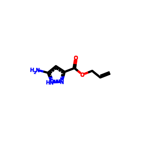 C=CCOC(=O)c1cc(N)[nH]n1